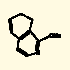 COc1nccc2c1CCC=C2